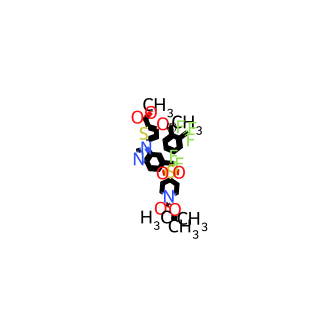 COC(=O)c1sc(-n2cnc3ccc(C(F)(F)S(=O)(=O)C4CCN(C(=O)OC(C)(C)C)CC4)cc32)cc1O[C@H](C)c1ccccc1C(F)(F)F